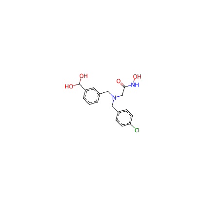 O=C(CN(Cc1ccc(Cl)cc1)Cc1cccc(C(O)O)c1)NO